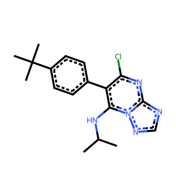 CC(C)Nc1c(-c2ccc(C(C)(C)C)cc2)c(Cl)nc2ncnn12